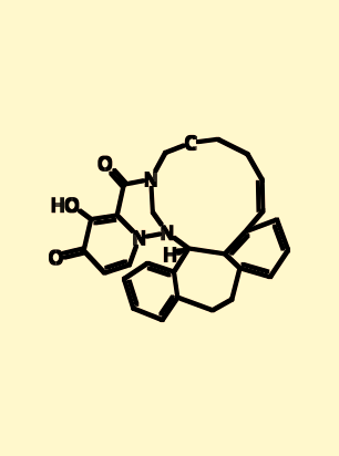 O=C1c2c(O)c(=O)ccn2N2CN1CCCC/C=C\c1cccc3c1[C@@H]2c1ccccc1CC3